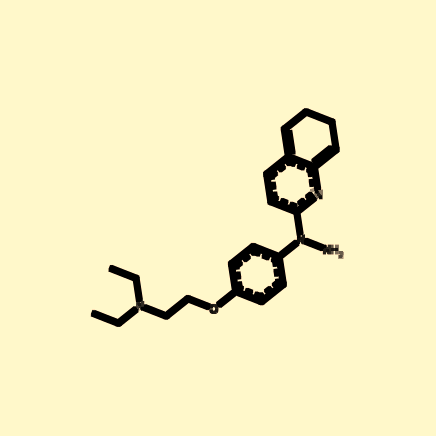 CCN(CC)CCOc1ccc(N(N)c2ccc3c(n2)=CCCC=3)cc1